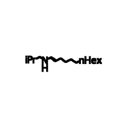 CCCCCCCCCCC=CNCC(C)C